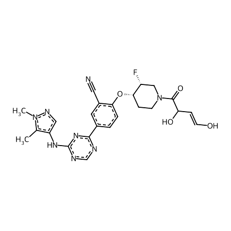 Cc1c(Nc2ncnc(-c3ccc(O[C@H]4CCN(C(=O)C(O)/C=C/O)C[C@H]4F)c(C#N)c3)n2)cnn1C